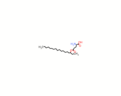 CCCCCCCCCCCCCCCC(CC)OC(=O)CC[C@H](N)C(=O)O